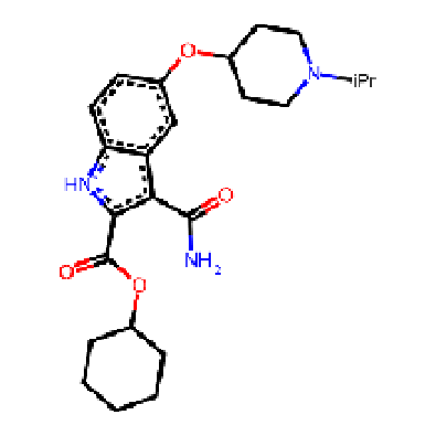 CC(C)N1CCC(Oc2ccc3[nH]c(C(=O)OC4CCCCC4)c(C(N)=O)c3c2)CC1